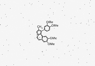 COc1ccc(-c2c(C)cn3ccc4cc(OC)c(OC)cc4c23)cc1OC